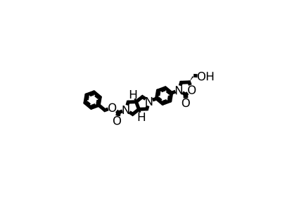 O=C(OCc1ccccc1)N1C[C@@H]2CN(c3ccc(N4C[C@H](CO)OC4=O)cc3)C[C@@H]2C1